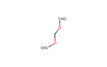 O=[C]OCO[C]=O